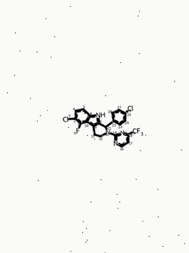 Fc1c(Cl)ccc2[nH]c3c(c12)CCN(c1nccc(C(F)(F)F)n1)C3c1ccc(Cl)cc1